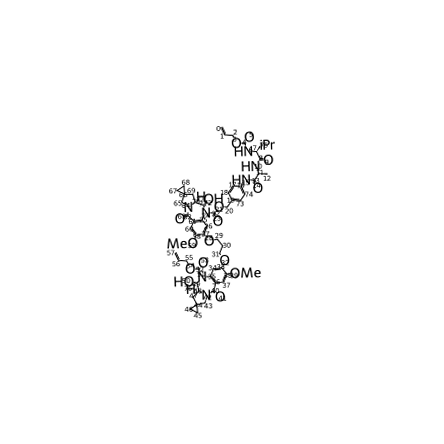 C=CCOC(=O)N[C@H](C(=O)N[C@@H](C)C(=O)Nc1ccc(COC(=O)N2c3cc(OCCCOc4cc5c(cc4OC)C(=O)N4CC6(CC6)C[C@H]4C(O)N5C(=O)OCC=C)c(OC)cc3C(=O)N3CC4(CC4)C[C@H]3C2O)cc1)C(C)C